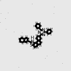 c1ccc(-c2nc(-c3ccccc3)nc(-c3ccc4c(ccc5ccc6c(c54)NC(c4ccc5ccccc5c4)S6)c3)n2)cc1